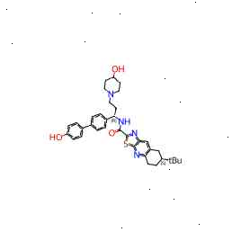 CC(C)(C)[C@H]1CCc2nc3sc(C(=O)N[C@H](CCN4CCC(O)CC4)c4ccc(-c5ccc(O)cc5)cc4)nc3cc2C1